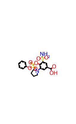 NS(=O)(=O)c1cc(C(=O)O)cc(N2CCCC2)c1OS(=O)(=O)Oc1ccccc1